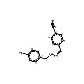 N#Cc1ccc(/[C]=N\OCc2ccc(F)cc2)cc1